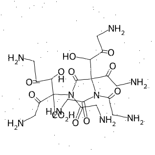 NCC(=O)C(O)C(C(=O)O)(C(=O)CN)N(C(=O)CN)C(=O)C(C(=O)CN)(C(O)C(=O)CN)N(C(=O)CN)C(=O)CN